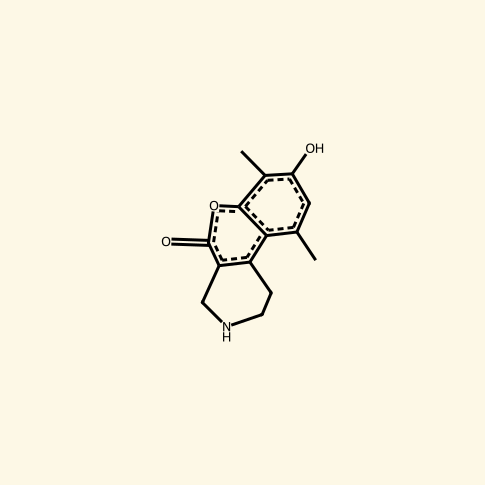 Cc1c(O)cc(C)c2c3c(c(=O)oc12)CNCC3